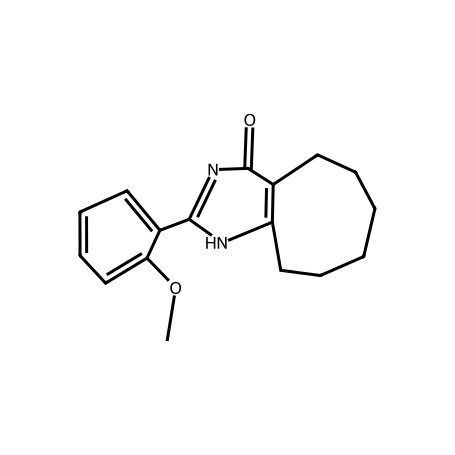 COc1ccccc1-c1nc(=O)c2c([nH]1)CCCCCC2